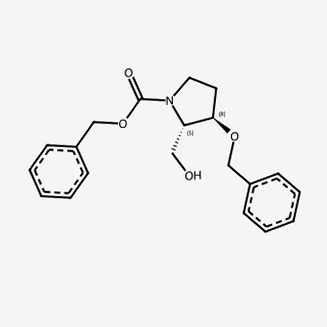 O=C(OCc1ccccc1)N1CC[C@@H](OCc2ccccc2)[C@@H]1CO